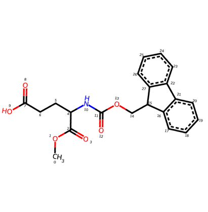 COC(=O)C(CCC(=O)O)NC(=O)OCC1c2ccccc2-c2ccccc21